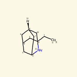 CCC12CC3CC(C[C@H](C3)C1)N2